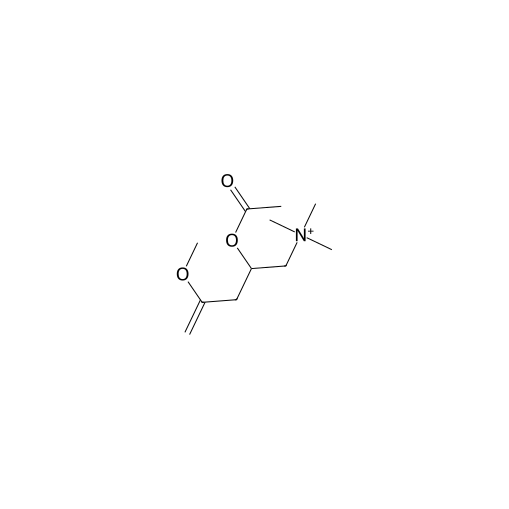 C=C(CC(C[N+](C)(C)C)OC(C)=O)OC